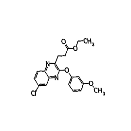 CCOC(=O)CCc1nc2ccc(Cl)cc2nc1Oc1cccc(OC)c1